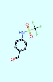 O=Cc1ccc(NS(=O)(=O)C(F)(F)F)cc1